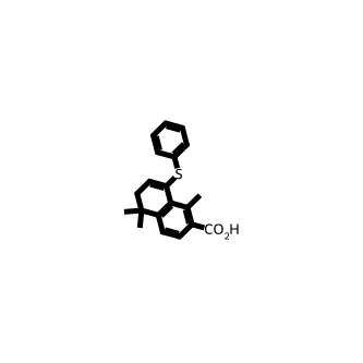 Cc1c(C(=O)O)ccc2c1C(Sc1ccccc1)=CCC2(C)C